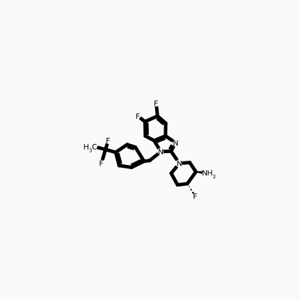 CC(F)(F)c1ccc(Cn2c(N3CC[C@@H](F)[C@H](N)C3)nc3cc(F)c(F)cc32)cc1